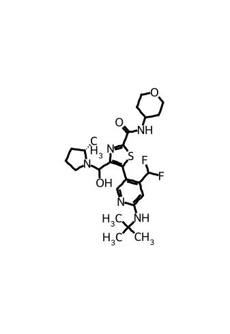 C[C@H]1CCCN1C(O)c1nc(C(=O)NC2CCOCC2)sc1-c1cnc(NC(C)(C)C)cc1C(F)F